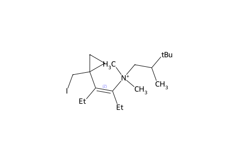 CC/C(=C(\CC)[N+](C)(C)CC(C)C(C)(C)C)C1(CI)CC1